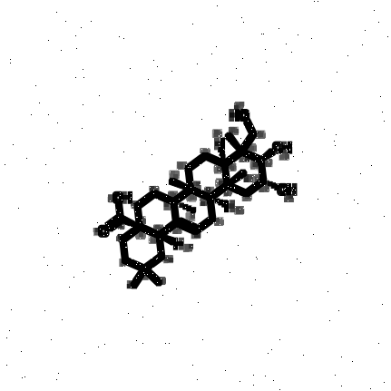 CC1(C)CC[C@]2(C(=O)O)CC[C@]3(C)C(=CC[C@@H]4[C@@]5(C)C[C@@H](O)[C@H](O)[C@@](C)(CO)[C@@H]5CC[C@]43C)[C@@H]2C1